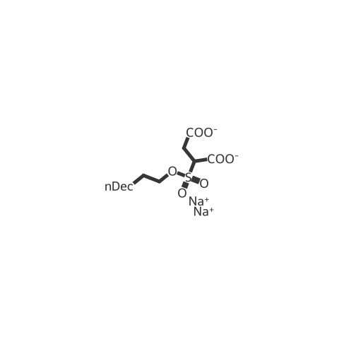 CCCCCCCCCCCCOS(=O)(=O)C(CC(=O)[O-])C(=O)[O-].[Na+].[Na+]